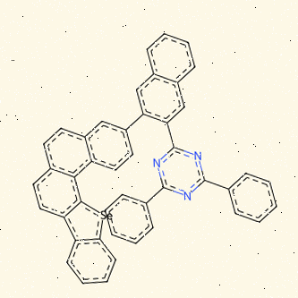 c1ccc(-c2nc(-c3ccccc3)nc(-c3cc4ccccc4cc3-c3ccc4c(ccc5ccc6c7ccccc7[se]c6c54)c3)n2)cc1